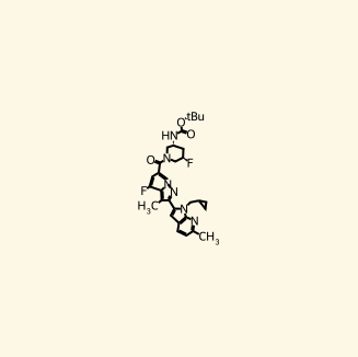 Cc1ccc2cc(-c3nn4cc(C(=O)N5C[C@H](F)C[C@@H](NC(=O)OC(C)(C)C)C5)cc(F)c4c3C)n(CC3CC3)c2n1